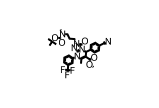 COC(=O)C1=C(C)N(c2cccc(C(F)(F)F)c2)c2nn(CCCN(C)C(=O)OC(C)(C)C)c(=O)n2C1c1ccc(C#N)cc1